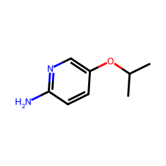 CC(C)Oc1ccc(N)nc1